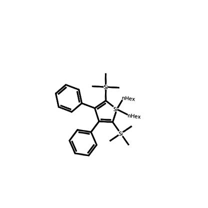 CCCCCC[Si]1(CCCCCC)C([Si](C)(C)C)=C(c2ccccc2)C(c2ccccc2)=C1[Si](C)(C)C